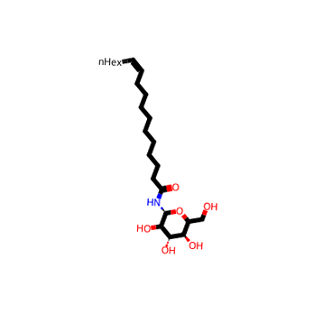 CCCCCC/C=C\CCCCCCCCCC(=O)N[C@@H]1OC(CO)[C@@H](O)[C@H](O)C1O